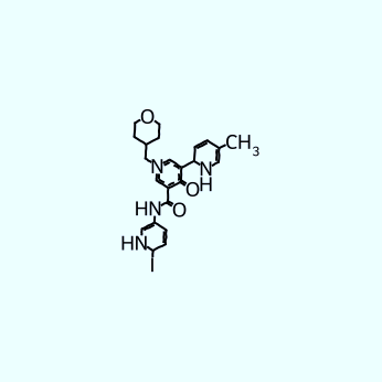 CC1=CNC(c2cn(CC3CCOCC3)cc(C(=O)NC3=CNC(I)C=C3)c2=O)C=C1